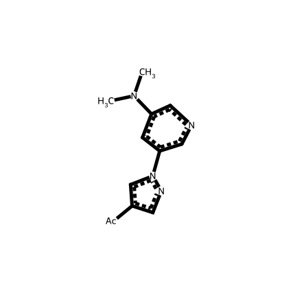 CC(=O)c1cnn(-c2cncc(N(C)C)c2)c1